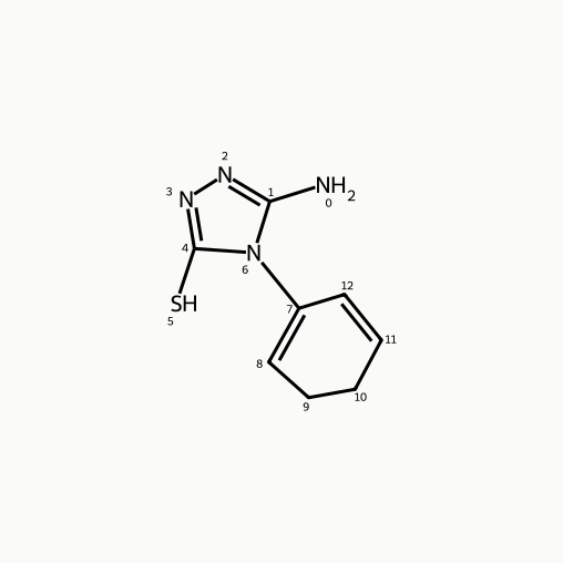 Nc1nnc(S)n1C1=CCCC=C1